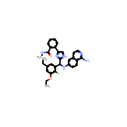 CCOc1cc(CC)cc(C(Nc2ccc3c(N)nccc3c2)c2nc(-c3ccccc3C(=O)NC)c[nH]2)c1F